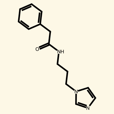 O=C(Cc1ccccc1)NCCCn1ccnc1